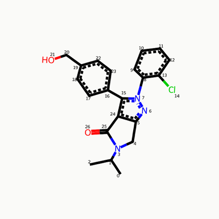 CC(C)N1Cc2nn(-c3ccccc3Cl)c(-c3ccc(CO)cc3)c2C1=O